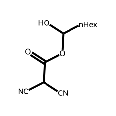 CCCCCCC(O)OC(=O)C(C#N)C#N